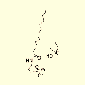 CCCCCCCCCCCC(=O)NC(CC)O[Cl+3]([O-])([O-])[O-].CC[N+](C)(C)O